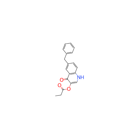 CCC(=O)Oc1c[nH]c2ccc(Cc3ccccc3)cc2c1=O